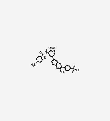 CCS(=O)(=O)c1ccc(-c2cc3cc(-c4cnc(OC)c(NS(=O)(=O)c5ccc(N)cc5)c4)ccc3nc2N)cc1